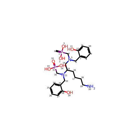 C=P(O)(O)CN(Cc1ccccc1O)CC(CCCCN)N(Cc1ccccc1O)CP(=O)(O)O